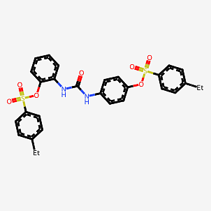 CCc1ccc(S(=O)(=O)Oc2ccc(NC(=O)Nc3ccccc3OS(=O)(=O)c3ccc(CC)cc3)cc2)cc1